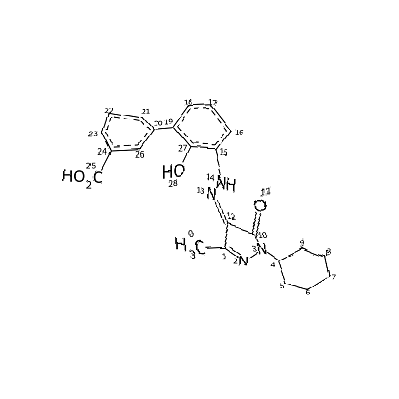 CC1=NN(C2CCCCC2)C(=O)/C1=N\Nc1cccc(-c2cccc(C(=O)O)c2)c1O